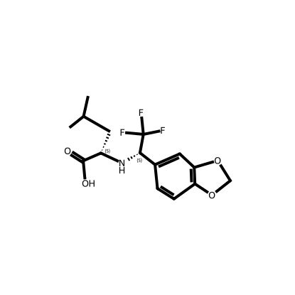 CC(C)C[C@H](N[C@@H](c1ccc2c(c1)OCO2)C(F)(F)F)C(=O)O